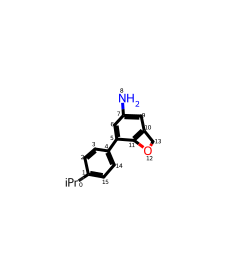 CC(C)c1ccc(-c2cc(N)cc3c2OC3)cc1